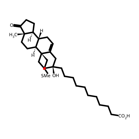 CSCC[C@]12CC[C@@](O)(CCCCCCCCCCC(=O)O)CC1=CC[C@@H]1[C@@H]2CC[C@]2(C)C(=O)CC[C@@H]12